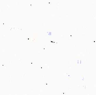 COc1ccccc1C(=O)NC[C@]1(c2ccc(F)cc2)CC[C@@H](N/C(=N/C#N)NCC2CC2)CC1